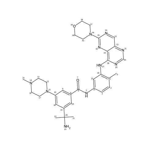 Cc1ccc(NC(=O)c2cc(N3CCN(C)CC3)cc(C(C)(C)N)c2)cc1Nc1ncnc2cnc(N3CCOCC3)nc12